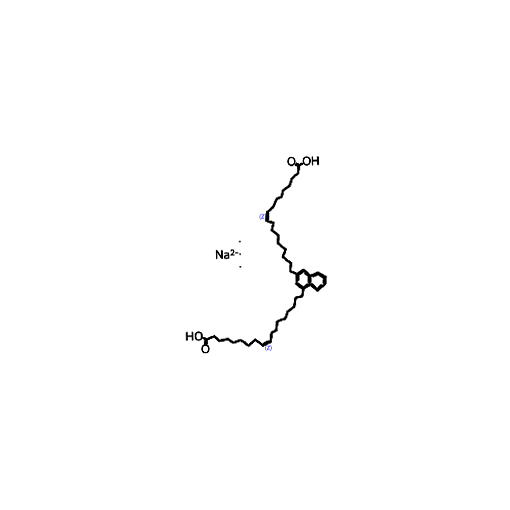 O=C(O)CCCCCCC/C=C\CCCCCCCCc1cc(CCCCCCCC/C=C\CCCCCCCC(=O)O)c2ccccc2c1.[Na-2]